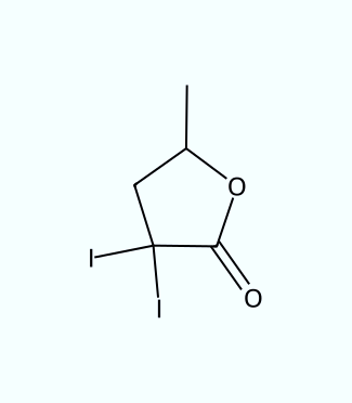 CC1CC(I)(I)C(=O)O1